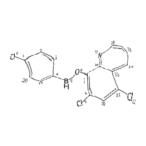 Clc1ccc(BOc2c(Cl)cc(Cl)c3cccnc23)cc1